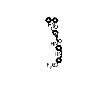 O=C(CCN1CCC(OC(=O)Nc2ccccc2-c2ccccc2)CC1)Nc1ccc(CNCc2ccc(OC(F)(F)F)cc2)cc1